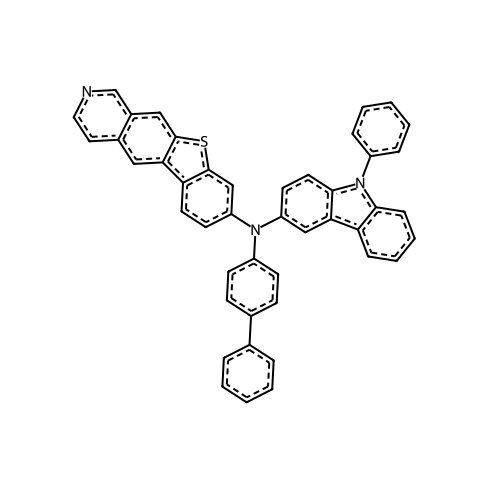 c1ccc(-c2ccc(N(c3ccc4c(c3)sc3cc5cnccc5cc34)c3ccc4c(c3)c3ccccc3n4-c3ccccc3)cc2)cc1